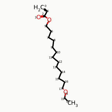 C=CC(=O)OCCCCCCCCCCCCCOCC